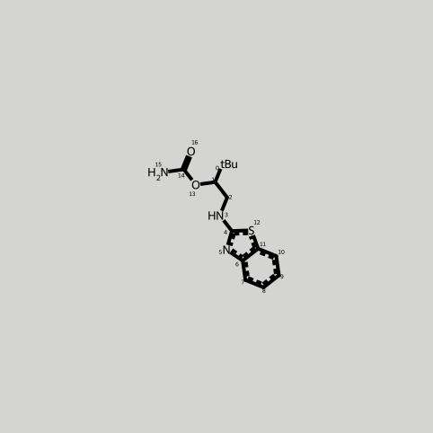 CC(C)(C)C(CNc1nc2ccccc2s1)OC(N)=O